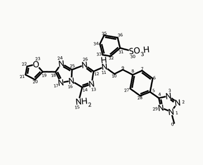 Cn1nnc(-c2ccc(CCNc3nc(N)n4nc(-c5ccco5)nc4n3)cc2)n1.O=S(=O)(O)c1ccccc1